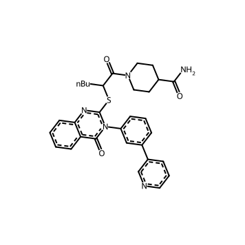 CCCCC(Sc1nc2ccccc2c(=O)n1-c1cccc(-c2cccnc2)c1)C(=O)N1CCC(C(N)=O)CC1